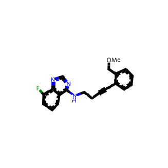 COCc1ccccc1C#CCCNc1ncnc2c(F)cccc12